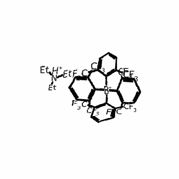 CC[NH+](CC)CC.FC(F)(F)c1cccc(C(F)(F)F)c1[B-](c1c(C(F)(F)F)cccc1C(F)(F)F)(c1c(C(F)(F)F)cccc1C(F)(F)F)c1c(C(F)(F)F)cccc1C(F)(F)F